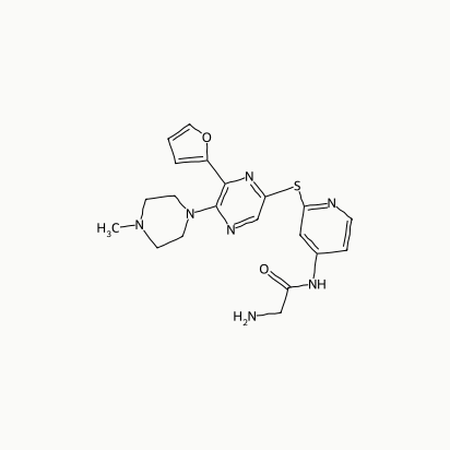 CN1CCN(c2ncc(Sc3cc(NC(=O)CN)ccn3)nc2-c2ccco2)CC1